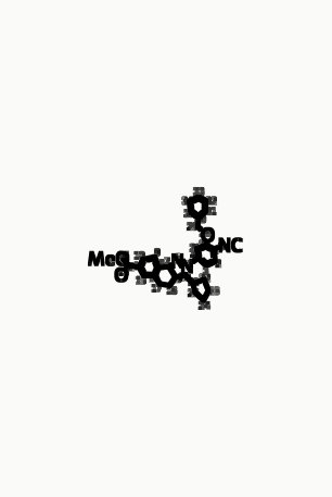 [C-]#[N+]c1ccc(N2N=C3c4ccc(C(=O)OC)cc4CCC3C2C2CCCC2)cc1OCc1ccccc1